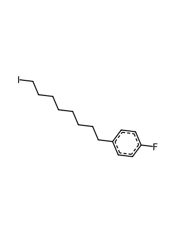 Fc1ccc(CCCCCCCCI)cc1